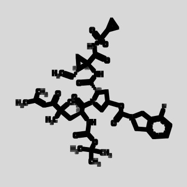 C=C[C@@H]1C[C@]1(NC(=O)[C@@H]1CC(OC(=O)N2Cc3cccc(F)c3C2)CN1C(=O)[C@H](CC(C)(C)C(=O)C=C(C)C)NC(=O)OC(C)(C)C)C(=O)NS(=O)(=O)C1CC1